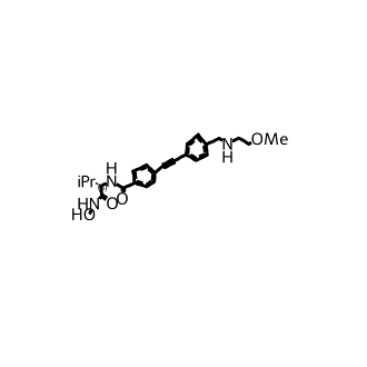 COCCNCc1ccc(C#Cc2ccc(C(=O)N[C@H](C(=O)NO)C(C)C)cc2)cc1